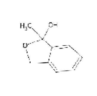 CC1(O)OCc2ccccc21